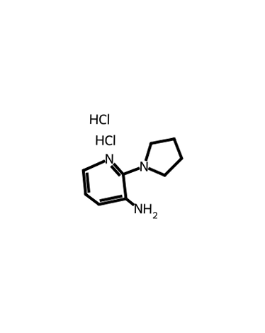 Cl.Cl.Nc1cccnc1N1CCCC1